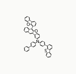 c1ccc(-c2ccc(N(c3ccc(-c4cccc5c4sc4ccccc45)cc3)c3ccc4oc5c(-c6cccc7c6oc6ccccc67)c6ccccc6cc5c4c3)cc2)cc1